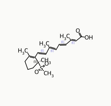 CC1=C(/C=C/C(C)=C/C=C/C(C)=C/C(=O)O)[C@@](C)(S(C)(=O)=O)CCC1